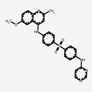 COc1ccc2nc(C)cc(Nc3ccc(S(=O)(=O)c4ccc(Nc5ccncn5)cc4)cc3)c2c1